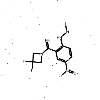 N=C(c1cc([N+](=O)[O-])ccc1NPI)N1CC(F)(F)C1